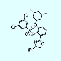 CC(C)[C@@H]1COC(c2cccc(OC3C[C@@H](C)C[C@@H](C)C3)c2NS(=O)(=O)c2cc(Cl)cc(Cl)c2)=N1